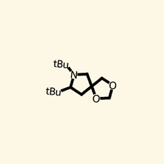 CC(C)(C)C1CC2(COCO2)CN1C(C)(C)C